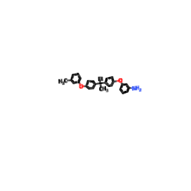 CCC(C)(c1ccc(Oc2cccc(C)c2)cc1)c1ccc(Oc2cccc(N)c2)cc1